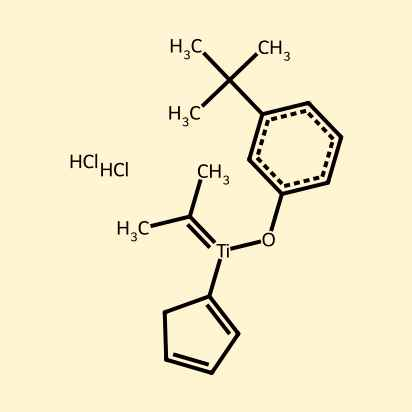 C[C](C)=[Ti]([O]c1cccc(C(C)(C)C)c1)[C]1=CC=CC1.Cl.Cl